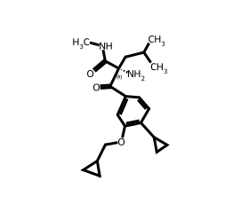 CNC(=O)[C@@](N)(CC(C)C)C(=O)c1ccc(C2CC2)c(OCC2CC2)c1